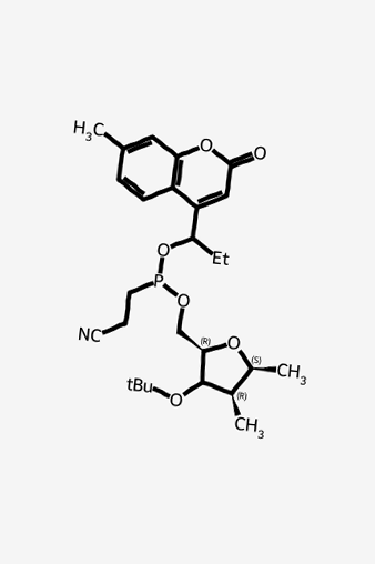 CCC(OP(CCC#N)OC[C@H]1O[C@@H](C)[C@@H](C)C1OC(C)(C)C)c1cc(=O)oc2cc(C)ccc12